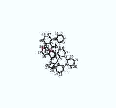 c1ccc(N(c2ccc3c(c2)C2(c4ccccc4-c4ccccc4-3)c3ccccc3-c3c2ccc2ccccc32)c2cccc3ccccc23)cc1